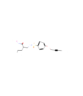 CC#CCOc1ccc(S(=O)(=O)NCC(CCC)C(=O)NO)cc1